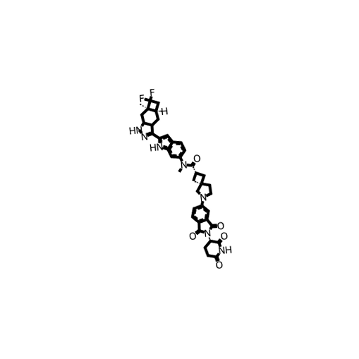 CN(c1ccc2cc(C3=NNC4C[C@]5(C)[C@H](CC34)CC5(F)F)[nH]c2c1)C(=O)[C@H]1C[C@@]2(CCN(c3ccc4c(c3)C(=O)N([C@H]3CCC(=O)NC3=O)C4=O)C2)C1